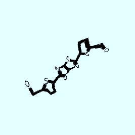 O=Cc1ccc(-c2nc3sc(-c4ccc(C=O)s4)nc3s2)s1